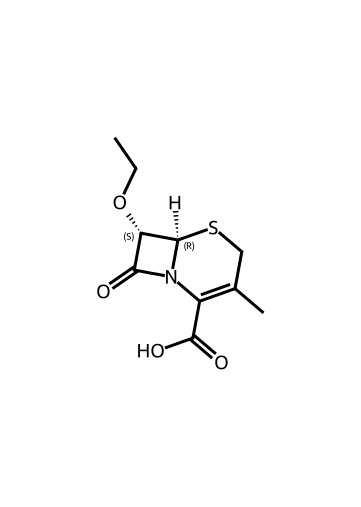 CCO[C@H]1C(=O)N2C(C(=O)O)=C(C)CS[C@H]12